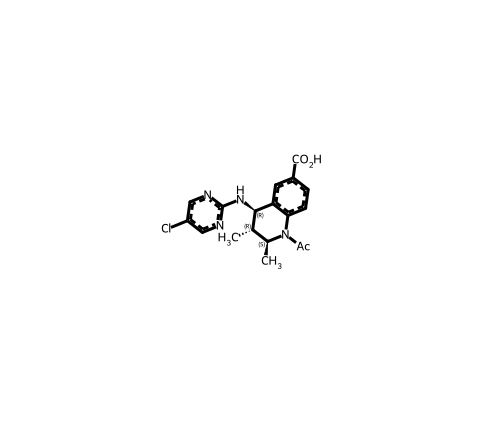 CC(=O)N1c2ccc(C(=O)O)cc2[C@H](Nc2ncc(Cl)cn2)[C@@H](C)[C@@H]1C